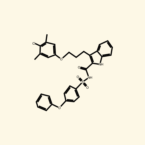 Cc1cc(OCCCc2c(C(=O)NS(=O)(=O)c3ccc(Oc4ccccc4)cc3)[nH]c3ccccc23)cc(C)c1Cl